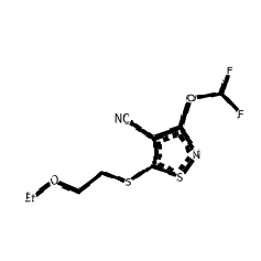 CCOCCSc1snc(OC(F)F)c1C#N